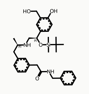 C[C@H](Cc1cccc(CC(=O)NCc2ccccc2)c1)NC[C@H](O[Si](C)(C)C(C)(C)C)c1ccc(O)c(CO)c1